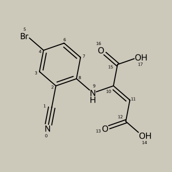 N#Cc1cc(Br)ccc1N/C(=C\C(=O)O)C(=O)O